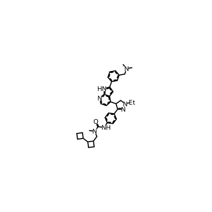 CCN1CC(c2ccnc3[nH]c(-c4cccc(CN(C)C)c4)cc23)C(c2ccc(NC(=O)N(C)CC3CCC3C3CCC3)cc2)=N1